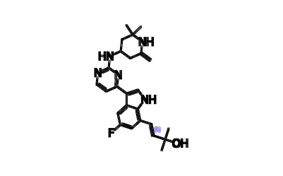 C=C1CC(Nc2nccc(-c3c[nH]c4c(/C=C/C(C)(C)O)cc(F)cc34)n2)CC(C)(C)N1